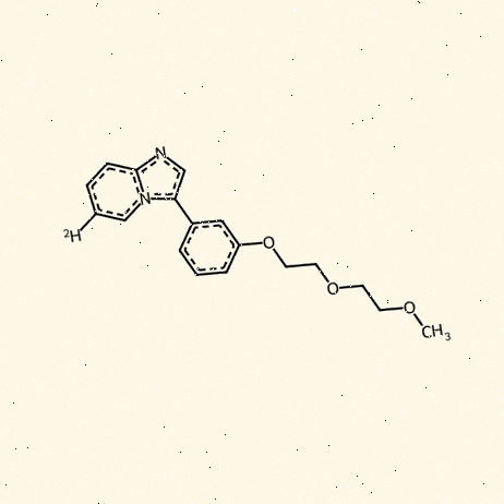 [2H]c1ccc2ncc(-c3cccc(OCCOCCOC)c3)n2c1